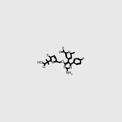 Cc1cc(-c2c(OCc3ccc(F)c(C(C)(C)C(=O)O)n3)nc(N)nc2-c2ccc(F)cc2)cc(C(F)F)n1